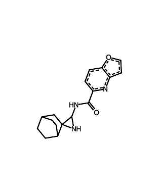 O=C(NC1NC12CC1CCC2CC1)c1ccc2occc2n1